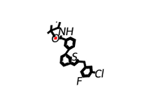 [CH2]C(NC(=O)c1cccc(-c2cccc3cc(Cc4cc(F)cc(Cl)c4)sc23)c1)C(C)(C)C